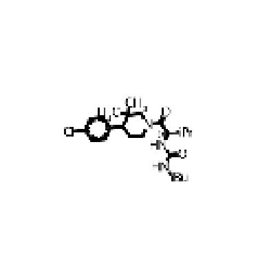 CCC(C)NC(=O)N[C@@H](C(=O)N1CCC(c2ccc(Cl)cc2)C(C)(C)C1)C(C)C